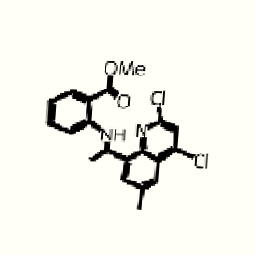 COC(=O)c1ccccc1NC(C)c1cc(C)cc2c(Cl)cc(Cl)nc12